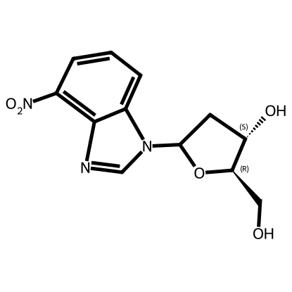 O=[N+]([O-])c1cccc2c1ncn2C1C[C@H](O)[C@@H](CO)O1